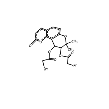 CC(C)CC(=O)OC1c2c(ccc3ccc(=O)oc23)OC(C)(C)C1OC(=O)CC(C)C